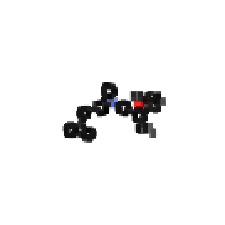 CCC(C)(CC)Oc1c(-c2ccccc2)cc(C)cc1-c1ccc(-n2c3ccccc3c3cc(-c4cccc(C5c6ccccc6-c6ccccc65)c4)ccc32)cc1